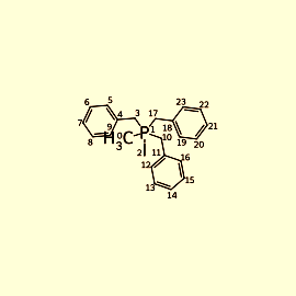 CP(I)(Cc1ccccc1)(Cc1ccccc1)Cc1ccccc1